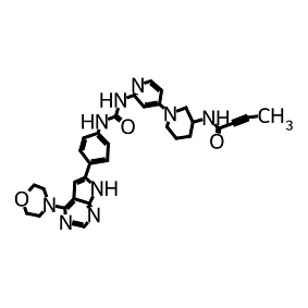 CC#CC(=O)NC1CCCN(c2ccnc(NC(=O)Nc3ccc(-c4cc5c(N6CCOCC6)ncnc5[nH]4)cc3)c2)C1